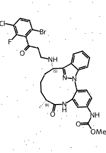 COC(=O)Nc1ccc2c(c1)NC(=O)[C@H](C)CCC[C@H](NCCC(=O)c1c(Br)ccc(Cl)c1F)c1nn-2c2ccccc12